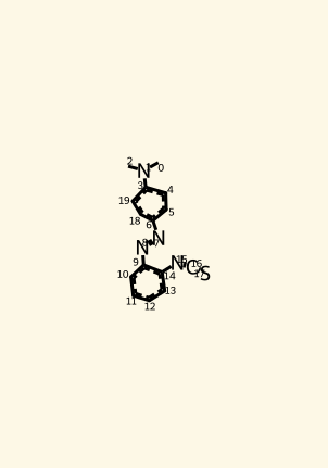 CN(C)c1ccc(N=Nc2ccccc2N=C=S)cc1